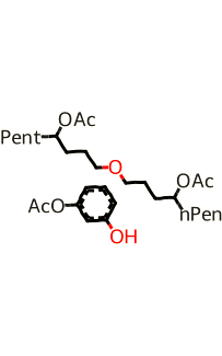 CC(=O)Oc1cccc(O)c1.CCCCCC(CCCOCCCC(CCCCC)OC(C)=O)OC(C)=O